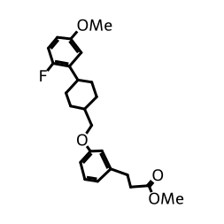 COC(=O)CCc1cccc(OCC2CCC(c3cc(OC)ccc3F)CC2)c1